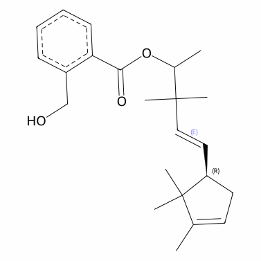 CC1=CC[C@H](/C=C/C(C)(C)C(C)OC(=O)c2ccccc2CO)C1(C)C